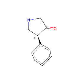 O=C1CN=C[C@@H]1c1ccccc1